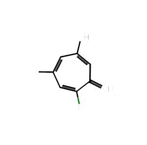 C=C1C=C(C)C=C(CC)C=C1F